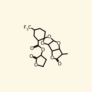 CC1C(=O)OC2C3OC4(CCC(C(F)(F)F)CC4C(=O)OC4CCOC4=O)OC3OC12